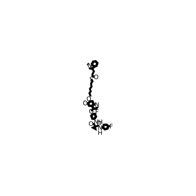 COc1cc2c(Oc3ccc(NC(=O)C4(C(=O)Nc5ccc(F)cc5)CC4)cc3F)ccnc2cc1OCCCCCCCSC(=O)CCc1cn(C)c2ccccc12